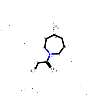 C=C(CC)N1CCC[C@@H](C)CC1